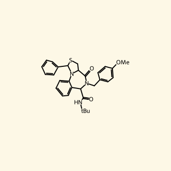 COc1ccc(CN2C(=O)C3CSC(c4ccccc4)N3c3ccccc3C2C(=O)NC(C)(C)C)cc1